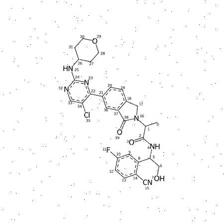 CC(C(=O)NC(CO)c1cc(F)ccc1C#N)N1Cc2ccc(-c3nc(NC4CCOCC4)ncc3Cl)cc2C1=O